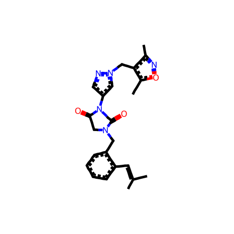 CC(C)=Cc1ccccc1CN1CC(=O)N(c2cnn(Cc3c(C)noc3C)c2)C1=O